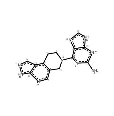 Nc1nc(N2CCc3c(cnc4[nH]ncc34)C2)c2nc[nH]c2n1